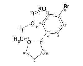 Brc1ccc(C2OCCO2)cc1.CCOC=O